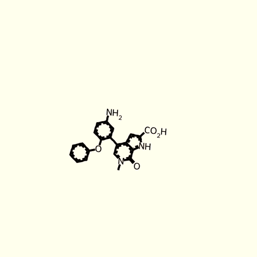 Cn1cc(-c2cc(N)ccc2Oc2ccccc2)c2cc(C(=O)O)[nH]c2c1=O